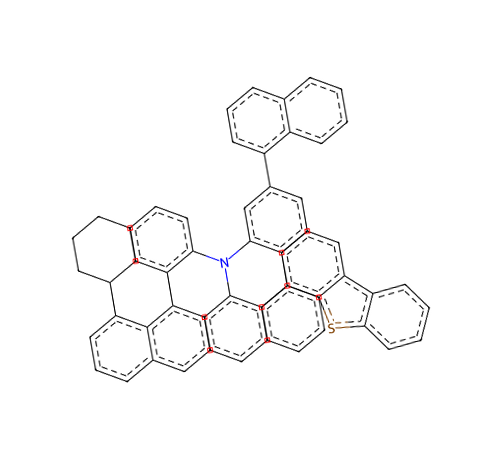 c1ccc(-c2ccc(-c3cccc4ccccc34)cc2N(c2ccccc2-c2cccc3c2sc2ccccc23)c2ccccc2-c2cccc3cccc(C4CCCCC4)c23)cc1